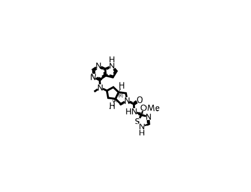 CO[C@@]1(NC(=O)N2C[C@H]3CC(N(C)c4ncnc5[nH]ccc45)C[C@H]3C2)N=CNS1